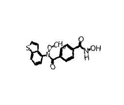 CON(C(=O)c1ccc(C(=O)NO)cc1)c1cccc2sccc12